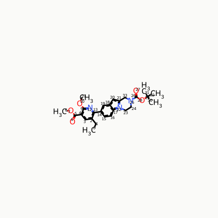 CCc1cc(C(=O)OC)c(OC)nc1-c1ccc2c(c1)cc1n2CCN(C(=O)OC(C)(C)C)C1